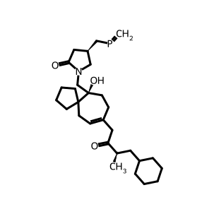 C=PC[C@@H]1CC(=O)N(C[C@]2(O)CCC(CC(=O)[C@H](C)CC3CCCCC3)=CCC23CCCC3)C1